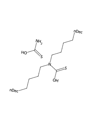 CCCCCCCCCCCCCCN(CCCCCCCCCCCCCC)C(O)=S.NC(O)=S